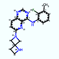 Cc1cccc(Nc2ncnc3ccc(N4CC5(CCN5)C4)nc23)c1F